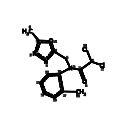 Cc1nnc(CN(C(=O)C(Cl)Cl)c2ccccc2C)o1